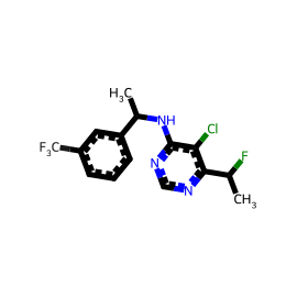 CC(F)c1ncnc(NC(C)c2cccc(C(F)(F)F)c2)c1Cl